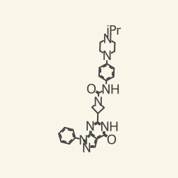 CC(C)N1CCN(c2ccc(NC(=O)N3CC(c4nc5c(cnn5-c5ccccc5)c(=O)[nH]4)C3)cc2)CC1